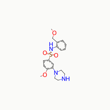 COCc1ccccc1NS(=O)(=O)c1ccc(OC)c(N2CCNCC2)c1